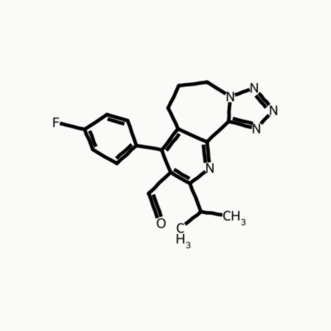 CC(C)c1nc2c(c(-c3ccc(F)cc3)c1C=O)CCCn1nnnc1-2